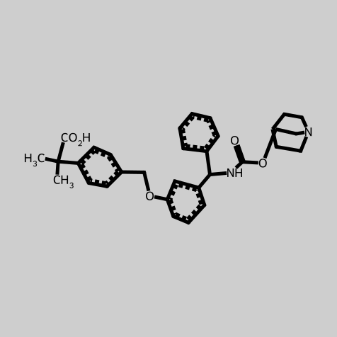 CC(C)(C(=O)O)c1ccc(COc2cccc(C(NC(=O)OC3CN4CCC3CC4)c3ccccc3)c2)cc1